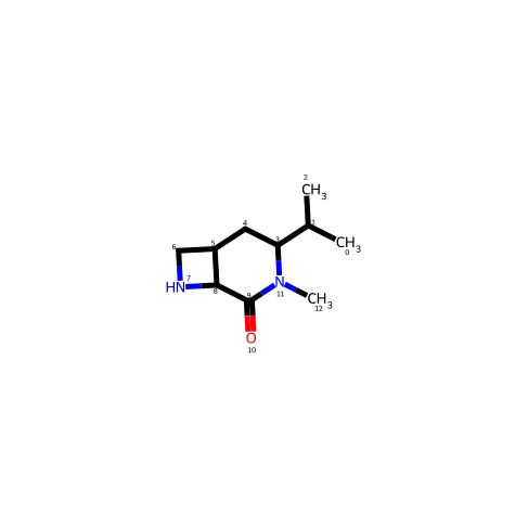 CC(C)C1CC2CNC2C(=O)N1C